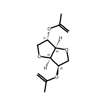 C=C(C)O[C@H]1CO[C@H]2[C@@H]1OC[C@H]2OC(=C)C